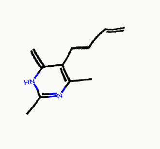 C=CCCC1=C(C)N=C(C)NC1=C